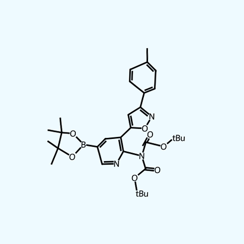 Cc1ccc(-c2cc(-c3cc(B4OC(C)(C)C(C)(C)O4)cnc3N(C(=O)OC(C)(C)C)C(=O)OC(C)(C)C)on2)cc1